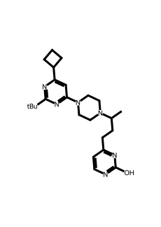 CC(CCc1ccnc(O)n1)N1CCN(c2cc(C3CCC3)nc(C(C)(C)C)n2)CC1